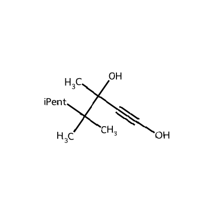 CCCC(C)C(C)(C)C(C)(O)C#CO